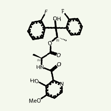 COc1ccnc(C(=O)N[C@@H](C)C(=O)O[C@@H](C)C(O)(c2ccccc2F)c2ccccc2F)c1O